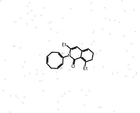 CCC1=c2c(cc(CC)n(C3=C/CC=CC/C=C\3)c2=O)=CCC1